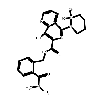 CN(C)C(=O)c1ccccc1CNC(=O)c1nc(N2CCCCS2(O)O)c2cccnc2c1O